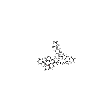 Cc1ccccc1-c1c(-c2cccc(N(c3ccc(-c4ccccc4)cc3)c3ccc4c(c3)C(C)(C)c3ccccc3-4)c2)cccc1[SiH](c1ccccc1)c1ccccc1